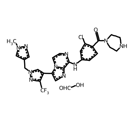 Cn1cc(Cn2cc(-c3cnc4c(Nc5ccc(C(=O)N6CCNCC6)c(Cl)c5)nccn34)c(C(F)(F)F)n2)cn1.O=CO